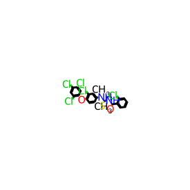 Cc1cc(Oc2cc(Cl)c(Cl)cc2Cl)c(Cl)c(C)c1NC(=S)NC(=O)c1ccccc1Cl